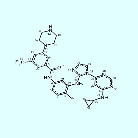 Cc1ccc(NC(=O)c2cc(N3CCNCC3)cc(C(F)(F)F)c2)cc1Nc1nccn1-c1cc(NC2CC2)ncn1